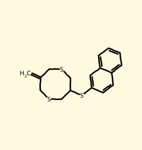 C=C1CSCC(Sc2ccc3ccccc3c2)CSC1